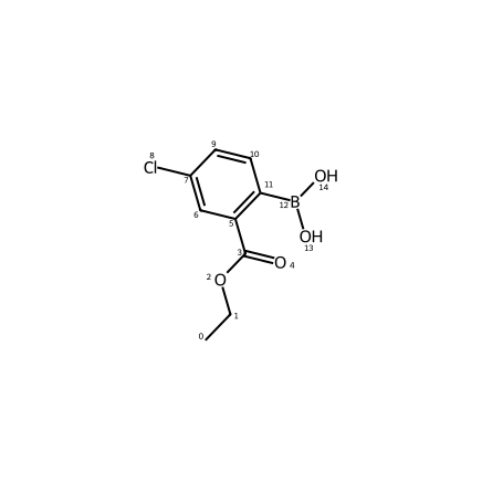 CCOC(=O)c1cc(Cl)ccc1B(O)O